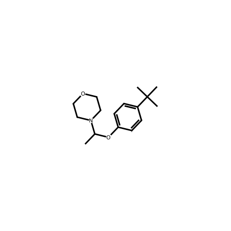 CC(Oc1[c]cc(C(C)(C)C)cc1)N1CCOCC1